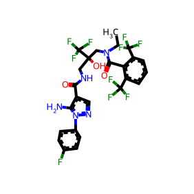 CCN(CC(O)(CNC(=O)c1cnn(-c2ccc(F)cc2)c1N)C(F)(F)F)C(=O)c1c(C(F)(F)F)cccc1C(F)(F)F